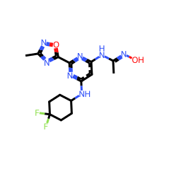 C/C(=N\O)Nc1cc(NC2CCC(F)(F)CC2)nc(-c2nc(C)no2)n1